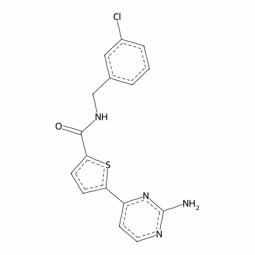 Nc1nccc(-c2ccc(C(=O)NCc3cccc(Cl)c3)s2)n1